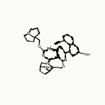 C#Cc1cccc2cc(O)cc(-c3cc4nc(OCC56CCCN5CCC6)nc5c4c(n3)OCC3C4CCC(CN53)N4)c12